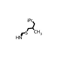 CC(C)CC(C)CSC=N